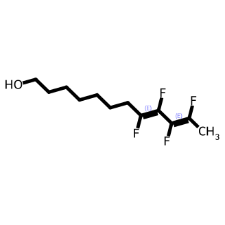 C/C(F)=C(F)/C(F)=C(\F)CCCCCCCO